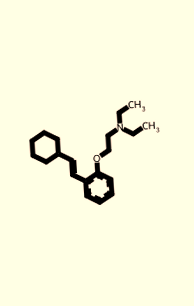 CCN(CC)CCOc1ccccc1C=CC1CCCCC1